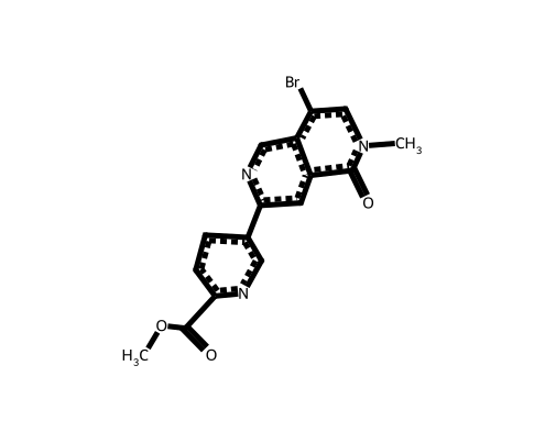 COC(=O)c1ccc(-c2cc3c(=O)n(C)cc(Br)c3cn2)cn1